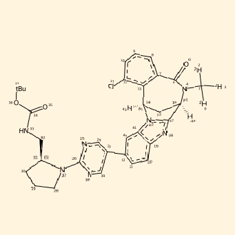 [2H]C([2H])([2H])N1C(=O)c2cccc(Cl)c2[C@H]2C[C@@H]1c1nc3ccc(-c4cnc(N5CCC[C@H]5CNC(=O)OC(C)(C)C)nc4)cc3n12